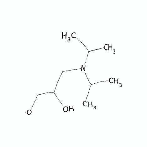 CC(C)N(CC(O)C[O])C(C)C